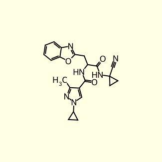 Cc1nn(C2CC2)cc1C(=O)NC(Cc1nc2ccccc2o1)C(=O)NC1(C#N)CC1